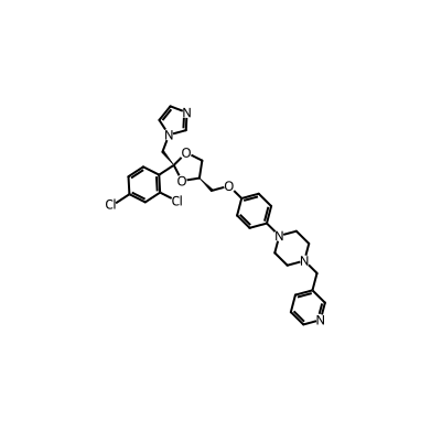 Clc1ccc([C@]2(Cn3ccnc3)OC[C@@H](COc3ccc(N4CCN(Cc5cccnc5)CC4)cc3)O2)c(Cl)c1